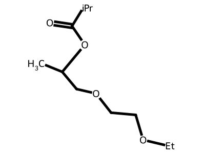 CCOCCOCC(C)OC(=O)C(C)C